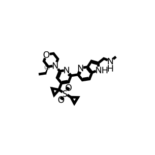 CC[C@H]1COCCN1c1cc(C2(S(=O)(=O)C3CC3)CC2)cc(-c2ccc3[nH]c(CNC)cc3n2)n1